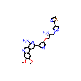 COc1cc2ncc3c(N)nc(-c4cncc(OC[C@H](N)Cn5cc(-c6nccs6)cn5)c4)cc3c2cc1OC